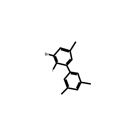 Cc1cc(C)cc(-c2cc(C)cc(Br)c2I)c1